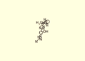 CN(c1cnc(-c2ccc(-n3cnc(C#N)n3)cc2O)nn1)[C@@H]1C[C@H]2CCC[C@@H](C1)N2